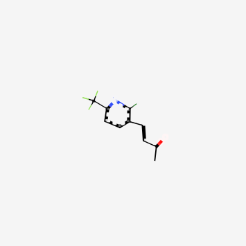 CC(=O)/C=C/c1ccc(C(F)(F)F)nc1Cl